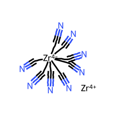 N#[C][Zr-4]([C]#N)([C]#N)([C]#N)([C]#N)([C]#N)([C]#N)[C]#N.[Zr+4]